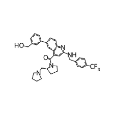 O=C(c1cc(NCc2ccc(C(F)(F)F)cc2)nc2ccc(-c3cccc(CO)c3)cc12)N1CCC[C@H]1CN1CCCC1